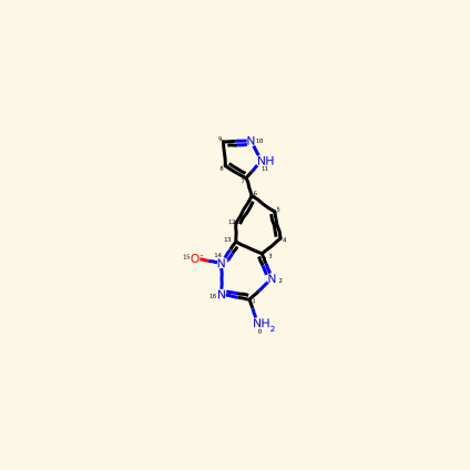 Nc1nc2ccc(-c3ccn[nH]3)cc2[n+]([O-])n1